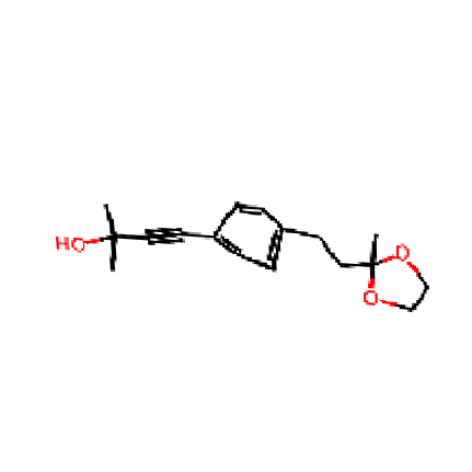 CC(C)(O)C#Cc1ccc(CCC2(C)OCCO2)cc1